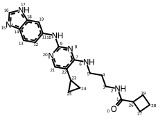 O=C(NCCCNc1nc(Nc2ccc3nc[nH]c3c2)ncc1C1CC1)C1CCC1